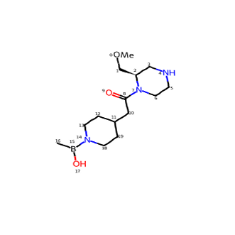 COC[C@H]1CNCCN1C(=O)CC1CCN(B(C)O)CC1